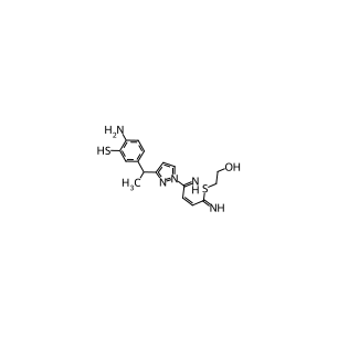 CC(c1ccc(N)c(S)c1)c1ccn(C(=N)/C=C\C(=N)SCCO)n1